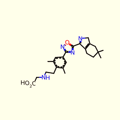 Cc1cc(-c2noc(C3=NCC4=C3CCC(C)(C)C4)n2)cc(C)c1CCNCC(=O)O